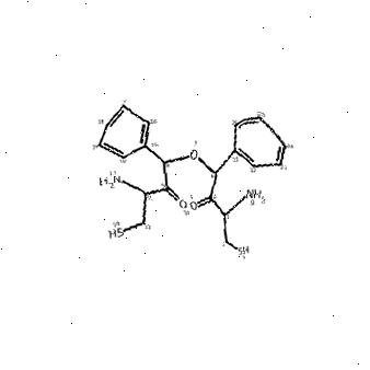 NC(CS)C(=O)C(OC(C(=O)C(N)CS)c1ccccc1)c1ccccc1